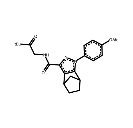 COc1ccc(-n2nc(C(=O)NCC(=O)C(C)(C)C)c3c2C2CCC3C2)cc1